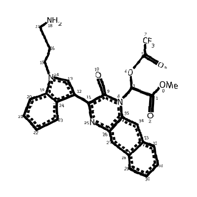 COC(=O)C(OC(=O)C(F)(F)F)n1c(=O)c(-c2cn(CCCN)c3ccccc23)nc2cc3ccccc3cc21